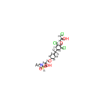 CC(=O)N(C[C@@H](O)COc1ccc(C(C)(C)c2cc(Cl)c(OC[C@H](O)CCl)c(Cl)c2)cc1)S(C)(=O)=O